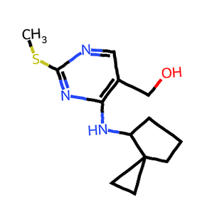 CSc1ncc(CO)c(NC2CCCC23CC3)n1